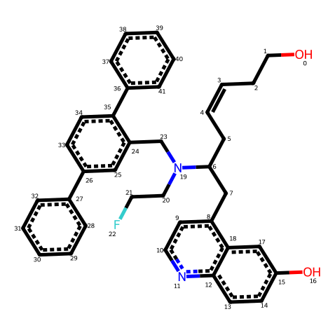 OCC/C=C\CC(Cc1ccnc2ccc(O)cc12)N(CCF)Cc1cc(-c2ccccc2)ccc1-c1ccccc1